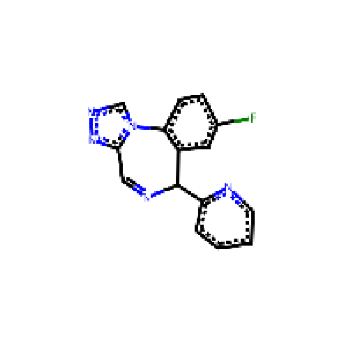 Fc1ccc2c(c1)C(c1ccccn1)N=Cc1nncn1-2